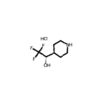 Cl.O[C@@H](C1CCNCC1)C(F)(F)F